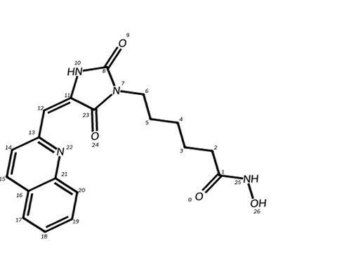 O=C(CCCCCN1C(=O)NC(=Cc2ccc3ccccc3n2)C1=O)NO